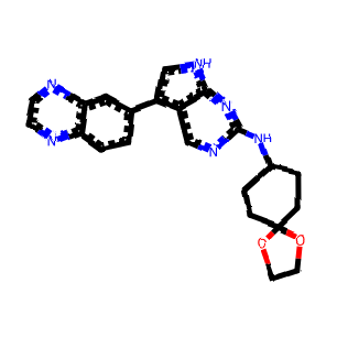 c1cnc2cc(-c3c[nH]c4nc(NC5CCC6(CC5)OCCO6)ncc34)ccc2n1